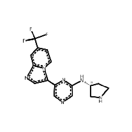 FC(F)(F)c1ccn2c(-c3cncc(N[C@@H]4CCNC4)n3)cnc2c1